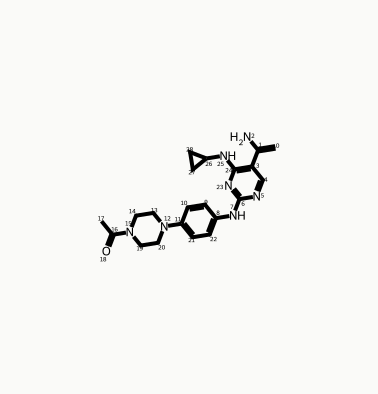 C=C(N)c1cnc(Nc2ccc(N3CCN(C(C)=O)CC3)cc2)nc1NC1CC1